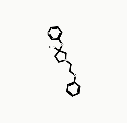 CC1(Oc2cccnc2)CCN(CCOc2ccccc2)C1